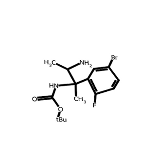 CC(N)C(C)(NC(=O)OC(C)(C)C)c1cc(Br)ccc1F